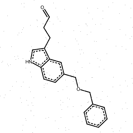 O=CCCc1c[nH]c2ccc(COCc3ccccc3)cc12